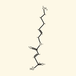 CCCCC=CCOC(=O)C=CC(=O)O